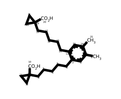 Cc1cc(CCCCCC2(C(=O)O)CC2)c(CCCCCC2(C(=O)O)CC2)cc1C